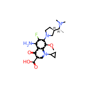 COc1c(N2CC[C@@H]([C@@H](C)N(C)C)C2)c(F)c(N)c2c(=O)c(C(=O)O)cn(C3CC3)c12